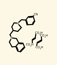 N#Cc1cccc(CN2CCC(CN3CCc4ccccc4C3)CC2)c1.O=C(O)C=CC(=O)O.O=C(O)C=CC(=O)O